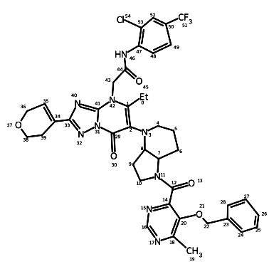 CCc1c(N2CCCC3C2CCN3C(=O)c2ncnc(C)c2OCc2ccccc2)c(=O)n2nc(C3=CCOCC3)nc2n1CC(=O)Nc1ccc(C(F)(F)F)cc1Cl